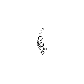 C[C@]12CCC(OCCO)CC1CC[C@@H]1[C@H]2CC[C@@]2(C)[C@H]1CCC2(O)c1ccoc1